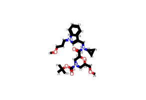 COCCCn1cc(CN(C(=O)C2CN(C(=O)OC(C)(C)C)CC(COC)O2)C2CC2)c2ccccc21